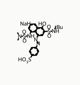 CN(C)S(=O)(=O)Nc1cccc2c(O)c(S(=O)(=O)NC(C)(C)C)cc(/N=N/c3ccc(S(=O)(=O)O)cc3)c12.[NaH]